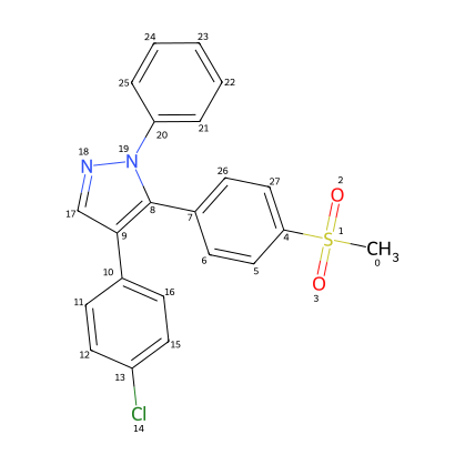 CS(=O)(=O)c1ccc(-c2c(-c3ccc(Cl)cc3)cnn2-c2ccccc2)cc1